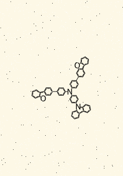 c1ccc2c(c1)oc1cc(-c3ccc(N(c4ccc(-c5ccc6c(c5)oc5ccccc56)cc4)c4ccc(-n5c6ccccc6c6ccccc65)cc4)cc3)ccc12